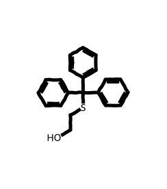 OCCSC(c1ccccc1)(c1ccccc1)c1ccccc1